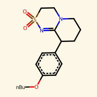 CCCCOc1ccc(C2CCCN3CCS(=O)(=O)N=C23)cc1